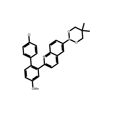 COc1ccc(-c2ccc(Cl)cc2)c(-c2ccc3cc(B4OCC(C)(C)CO4)ccc3n2)c1